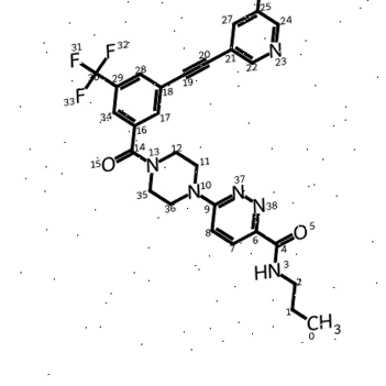 CCCNC(=O)c1ccc(N2CCN(C(=O)c3cc(C#Cc4cncc(O)c4)cc(C(F)(F)F)c3)CC2)nn1